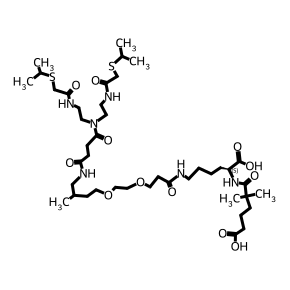 CC(CCOCCOCCC(=O)NCCCC[C@H](NC(=O)C(C)(C)CCCC(=O)O)C(=O)O)CNC(=O)CCC(=O)N(CCNC(=O)CSC(C)C)CCNC(=O)CSC(C)C